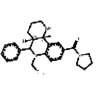 CCN1c2ccc(C(=O)N3CCCC3)cc2[C@H]2NCCC[C@H]2C1c1ccccc1